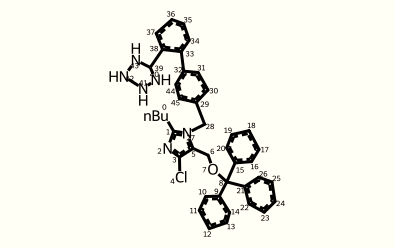 CCCCc1nc(Cl)c(COC(c2ccccc2)(c2ccccc2)c2ccccc2)n1Cc1ccc(-c2ccccc2C2NNNN2)cc1